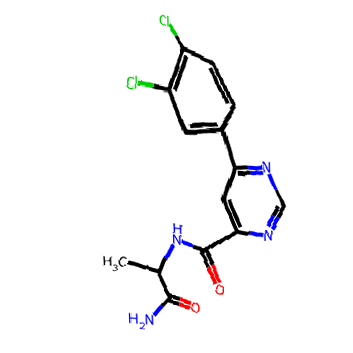 CC(NC(=O)c1cc(-c2ccc(Cl)c(Cl)c2)ncn1)C(N)=O